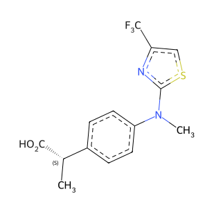 C[C@H](C(=O)O)c1ccc(N(C)c2nc(C(F)(F)F)cs2)cc1